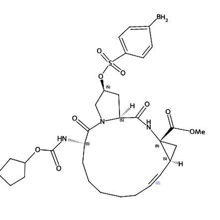 Bc1ccc(S(=O)(=O)O[C@H]2C[C@H]3C(=O)N[C@]4(C(=O)OC)C[C@H]4/C=C\CCCCC[C@H](NC(=O)OC4CCCC4)C(=O)N3C2)cc1